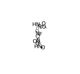 CCOC(=O)c1c[nH]c(CC2CCN(c3ccc(N4C[C@H](CNC(C)=O)OC4=O)cc3F)CC2)n1